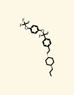 CCC[C@H]1CC[C@H](CCc2ccc(C(F)(F)Oc3ccc(OC(F)(F)F)cc3)cc2)CC1